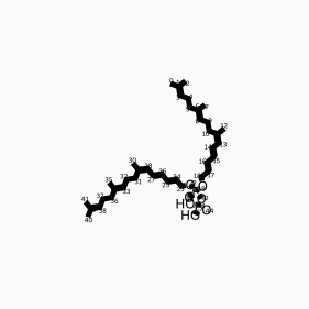 CC(C)=CCC/C(C)=C/CC\C(C)=C/C=C/C=C/COP(=O)(OC/C=C/C=C/C=C(/C)CC/C=C(\C)CCC=C(C)C)OP(=O)(O)O